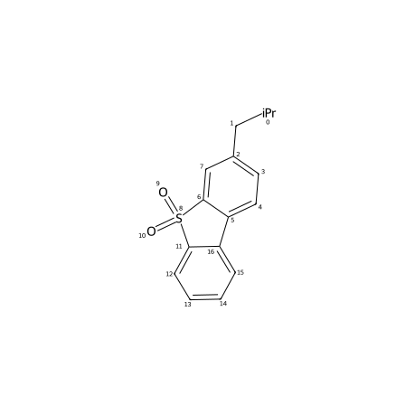 CC(C)Cc1ccc2c(c1)S(=O)(=O)c1ccccc1-2